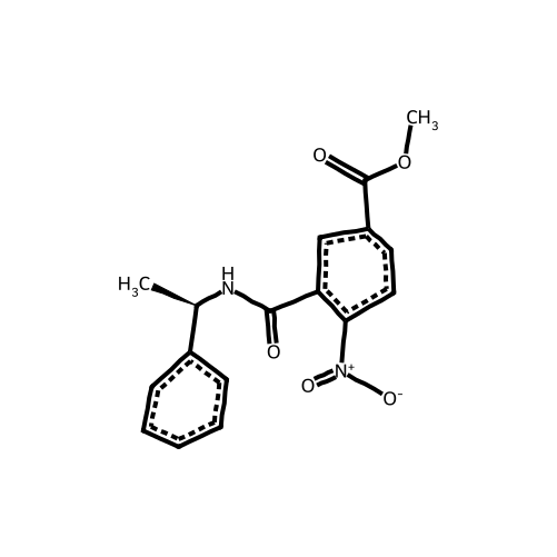 COC(=O)c1ccc([N+](=O)[O-])c(C(=O)N[C@H](C)c2ccccc2)c1